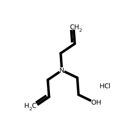 C=CCN(CC=C)CCO.Cl